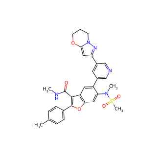 CNC(=O)c1c(-c2ccc(C)cc2)oc2cc(N(C)S(C)(=O)=O)c(-c3cncc(-c4cc5n(n4)CCCO5)c3)cc12